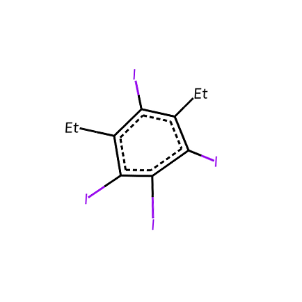 CCc1c(I)c(I)c(I)c(CC)c1I